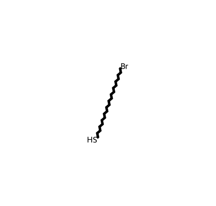 SCCCCCCCCCCCCCCCCCCCCCCBr